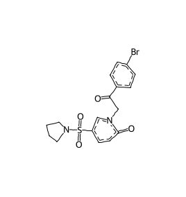 O=C(Cn1cc(S(=O)(=O)N2CCCC2)ccc1=O)c1ccc(Br)cc1